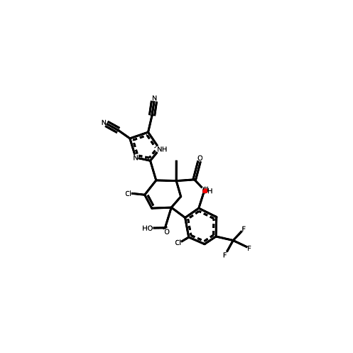 CC1(C(=O)O)CC(C(=O)O)(c2c(Cl)cc(C(F)(F)F)cc2Cl)C=C(Cl)C1c1nc(C#N)c(C#N)[nH]1